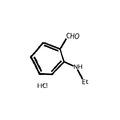 CCNc1ccccc1C=O.Cl